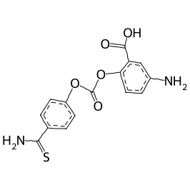 NC(=S)c1ccc(OC(=O)Oc2ccc(N)cc2C(=O)O)cc1